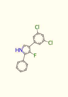 Fc1c(-c2cc(Cl)cc(Cl)c2)c[nH]c1-c1ccccc1